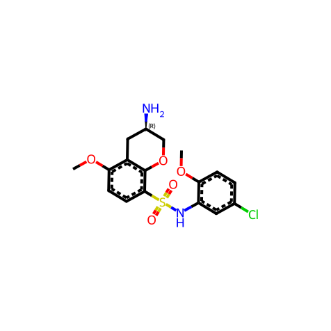 COc1ccc(Cl)cc1NS(=O)(=O)c1ccc(OC)c2c1OC[C@H](N)C2